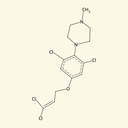 CN1CCN(c2c(Cl)cc(OCC=C(Cl)Cl)cc2Cl)CC1